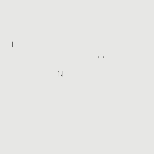 Ic1ccc(Oc2ccccc2)nc1